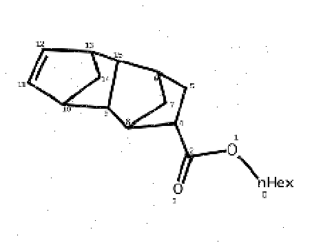 CCCCCCOC(=O)C1CC2CC1C1C3C=CC(C3)C21